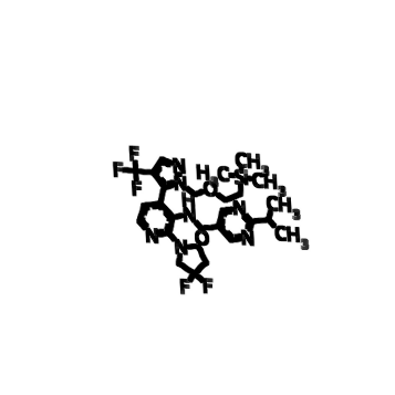 CC(C)c1ncc(C(=O)Nc2c(-c3c(C(F)(F)F)cnn3COCC[Si](C)(C)C)ccnc2N2CCC(F)(F)C2)cn1